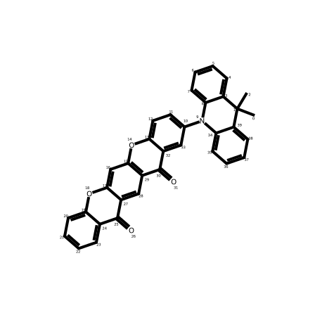 CC1(C)c2ccccc2N(c2ccc3oc4cc5oc6ccccc6c(=O)c5cc4c(=O)c3c2)c2ccccc21